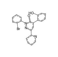 O=c1c(-c2ccccc2O)cc(-c2ccccn2)nn1-c1ccccc1Br